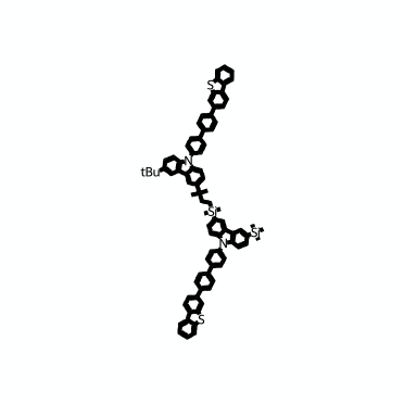 CC(C)(C)c1ccc2c(c1)c1cc(C(C)(C)CC[Si](C)(C)c3ccc4c(c3)c3cc([Si](C)(C)C)ccc3n4-c3ccc(-c4ccc(-c5ccc6c(c5)sc5ccccc56)cc4)cc3)ccc1n2-c1ccc(-c2ccc(-c3ccc4c(c3)sc3ccccc34)cc2)cc1